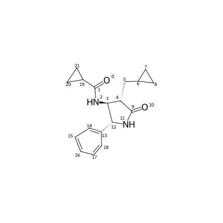 O=C(N[C@H]1[C@H](CC2CC2)C(=O)N[C@@H]1c1ccccc1)C1CC1